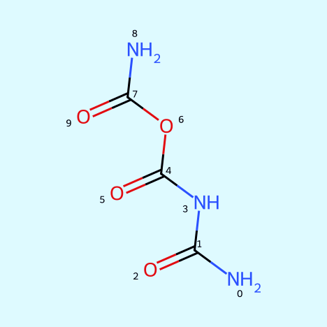 NC(=O)NC(=O)OC(N)=O